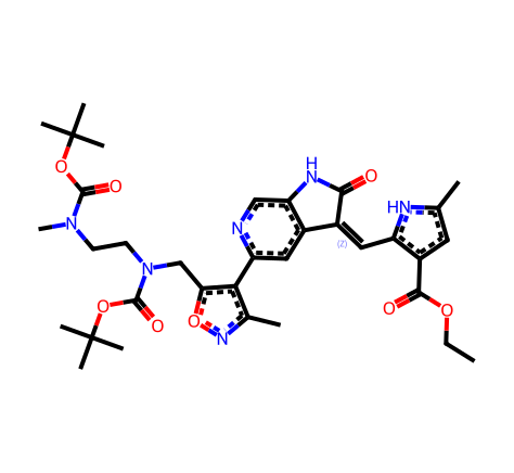 CCOC(=O)c1cc(C)[nH]c1/C=C1\C(=O)Nc2cnc(-c3c(C)noc3CN(CCN(C)C(=O)OC(C)(C)C)C(=O)OC(C)(C)C)cc21